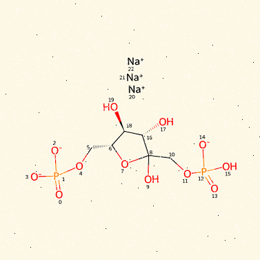 O=P([O-])([O-])OC[C@H]1OC(O)(COP(=O)([O-])O)[C@@H](O)[C@@H]1O.[Na+].[Na+].[Na+]